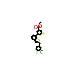 CCOC(=O)c1cc(F)cc(-c2cccc3cc(Cc4ccc(F)c(Cl)c4)sc23)c1